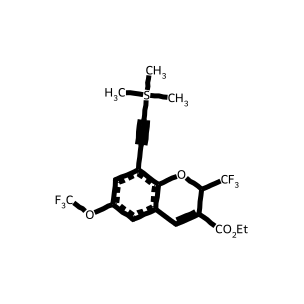 CCOC(=O)C1=Cc2cc(OC(F)(F)F)cc(C#CS(C)(C)C)c2OC1C(F)(F)F